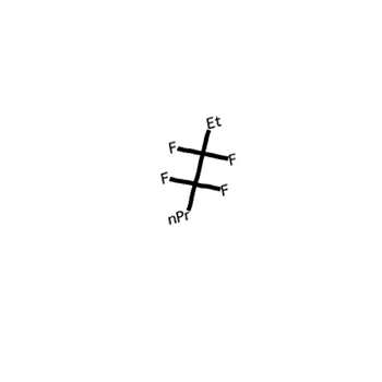 [CH2]CCC(F)(F)C(F)(F)CC